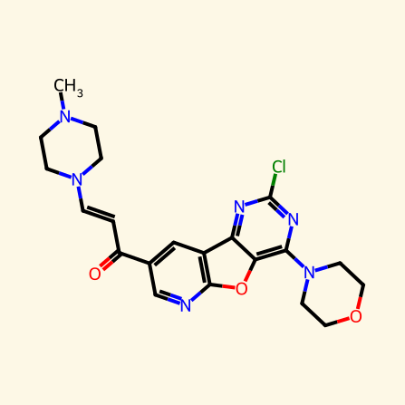 CN1CCN(/C=C/C(=O)c2cnc3oc4c(N5CCOCC5)nc(Cl)nc4c3c2)CC1